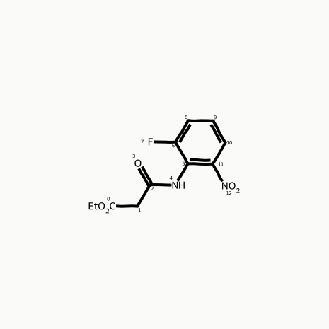 CCOC(=O)CC(=O)Nc1c(F)cccc1[N+](=O)[O-]